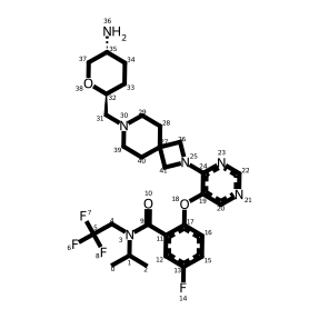 CC(C)N(CC(F)(F)F)C(=O)c1cc(F)ccc1Oc1cncnc1N1CC2(CCN(C[C@@H]3CC[C@@H](N)CO3)CC2)C1